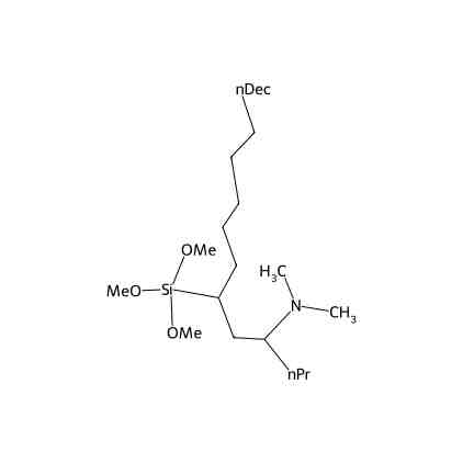 CCCCCCCCCCCCCCCC(CC(CCC)N(C)C)[Si](OC)(OC)OC